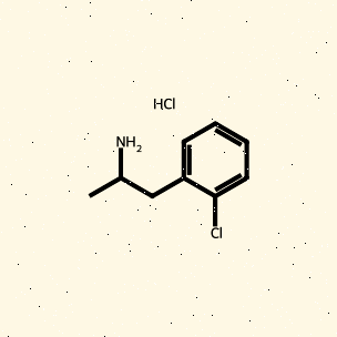 CC(N)Cc1ccccc1Cl.Cl